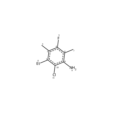 CCc1c(C)c(F)c(C)c(N)c1Cl